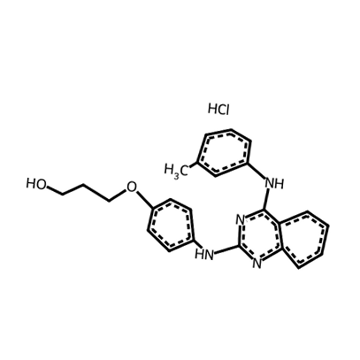 Cc1cccc(Nc2nc(Nc3ccc(OCCCO)cc3)nc3ccccc23)c1.Cl